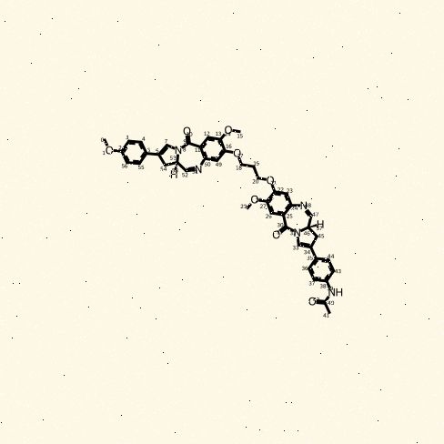 COc1ccc(C2=CN3C(=O)c4cc(OC)c(OCCCOc5cc6c(cc5OC)C(=O)N5C=C(c7ccc(NC(C)=O)cc7)C[C@H]5C=N6)cc4N=C[C@@H]3C2)cc1